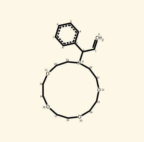 C=CC(c1ccccc1)N1CCOCCOCCOCCOCC1